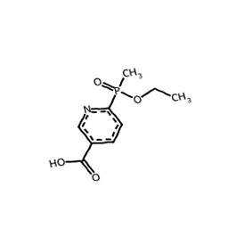 CCOP(C)(=O)c1ccc(C(=O)O)cn1